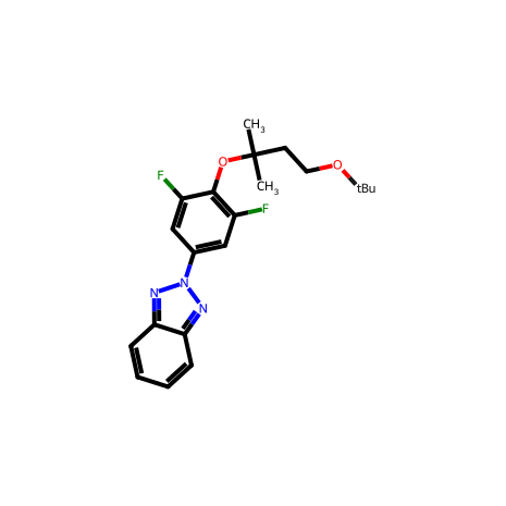 CC(C)(C)OCCC(C)(C)Oc1c(F)cc(-n2nc3ccccc3n2)cc1F